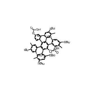 Cc1cc(-c2c(O[P](=O)O)c(-c3cc(C)c(C(C)(C)C)cc3C(C)(C)C)c(-c3cc(C)c(C(C)(C)C)cc3C(C)(C)C)c(-c3ccc(O[P](=O)O)cc3)c2-c2cc(C)c(C(C)(C)C)cc2C(C)(C)C)c(C(C)(C)C)cc1C(C)(C)C